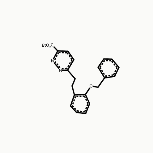 CCOC(=O)c1ccc(CCc2ccccc2OCc2ccccc2)nn1